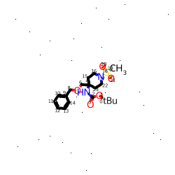 CC(C)(C)OC(=O)NC1(COCc2ccccc2)CCN(S(C)(=O)=O)CC1